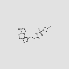 C=C(CCn1cnc2cnc3[nH]ccc3c21)NS(=O)(=O)N1CC(F)C1